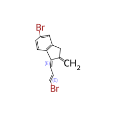 C=C1Cc2cc(Br)ccc2/C1=C/C=C/Br